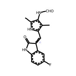 Cc1[nH]c(/C=C2\C(=O)Nc3ccc(F)cc32)c(C)c1NC=O